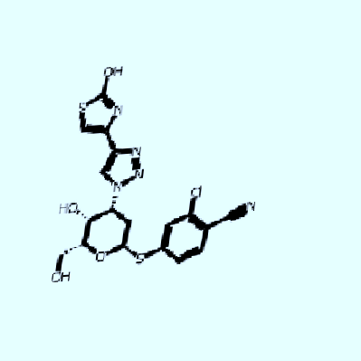 N#Cc1ccc(S[C@@H]2C[C@@H](n3cc(-c4csc(O)n4)nn3)[C@@H](O)[C@@H](CO)O2)cc1Cl